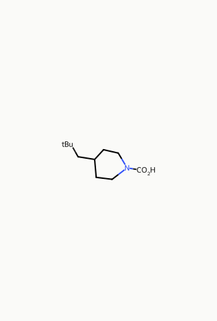 CC(C)(C)CC1CCN(C(=O)O)CC1